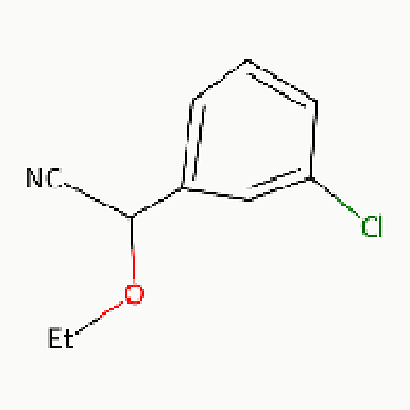 CCOC(C#N)c1cccc(Cl)c1